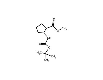 COC(=O)C1CCCC1NC(=O)OC(C)(C)C